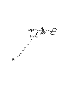 COCC(COC(=O)NCCCCCCCCCCCCCCCC(C)C)CN(C(C)=O)S(=O)(=O)CCC[n+]1cccc2ccccc21.[I-]